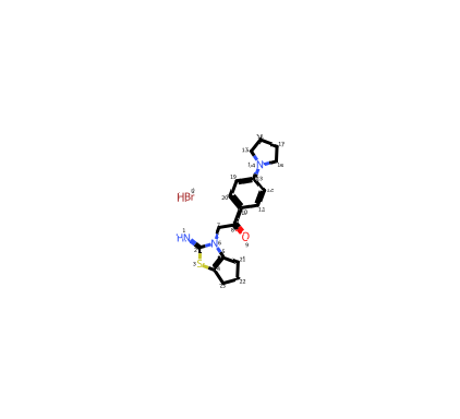 Br.N=c1sc2c(n1CC(=O)c1ccc(N3CCCC3)cc1)CCC2